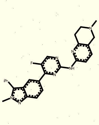 CC(C)c1c2cc(-c3nc(Nc4ccc5c(n4)CCN(C)C5)ncc3F)ccc2nn1C